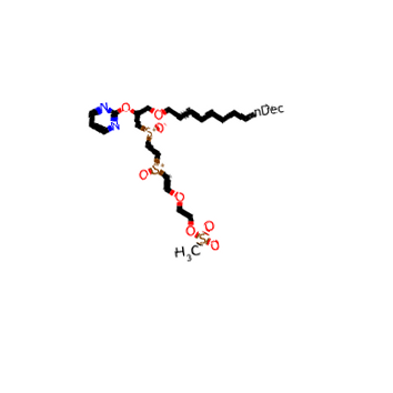 CCCCCCCCCCCCCCCCCCOCC(C[S+]([O-])CC[S+]([O-])CCOCCOS(C)(=O)=O)Oc1ncccn1